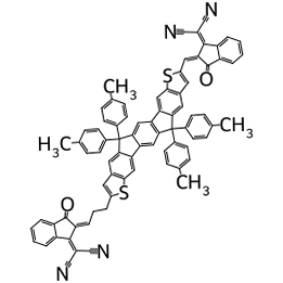 Cc1ccc(C2(c3ccc(C)cc3)c3cc4c(cc3-c3cc5sc(/C=C6\C(=O)c7ccccc7C6=C(C#N)C#N)cc5cc32)C(c2ccc(C)cc2)(c2ccc(C)cc2)c2cc3cc(CC/C=C5\C(=O)c6ccccc6C5=C(C#N)C#N)sc3cc2-4)cc1